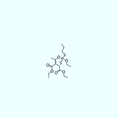 CCCSP(=S)(OCC)OC(C)=C(CC(=O)OCC)C(=O)OCC